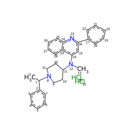 CC(c1ccccc1)N1CCC(N(C)c2cc(-c3ccccc3)nc3ccccc23)CC1.Cl.Cl